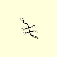 C=CCC(C(F)(F)F)(C(F)(F)F)C(C)(C=C)C(F)(F)F